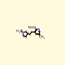 COc1ncc(C)cc1CCC1CCN(C)C1